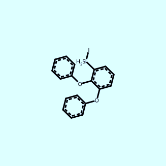 I[SiH2]c1cccc(Oc2ccccc2)c1Oc1ccccc1